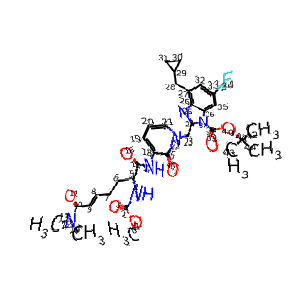 COC(=O)N[C@@H](CC/C=C/C(=O)N(C)C)C(=O)Nc1cccn(Cc2nc3c(CC4CC4)cc(F)cc3n2C(=O)OC(C)(C)C)c1=O